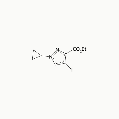 CCOC(=O)c1nn(C2CC2)cc1I